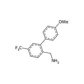 COc1ccc(-c2cc(C(F)(F)F)ccc2CN)cc1